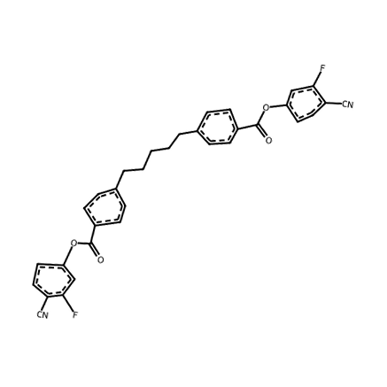 N#Cc1ccc(OC(=O)c2ccc(CCCCCc3ccc(C(=O)Oc4ccc(C#N)c(F)c4)cc3)cc2)cc1F